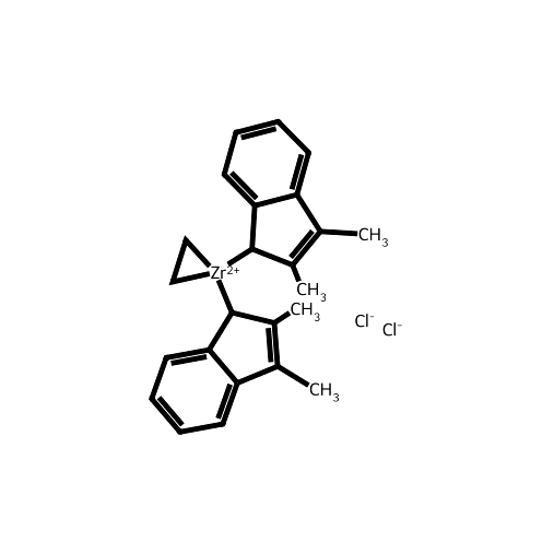 CC1=C(C)[CH]([Zr+2]2([CH]3C(C)=C(C)c4ccccc43)[CH2][CH2]2)c2ccccc21.[Cl-].[Cl-]